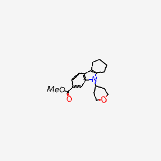 COC(=O)c1ccc2c3c(n(C4CCOCC4)c2c1)CCCC3